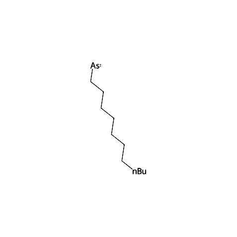 CCCCCCCCCCC[As]